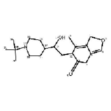 CC1=C2COC=C2CC(=O)C1CC(O)C1CCN(C(C)(C)C)CC1